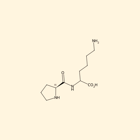 NCCCCC(NC(=O)[C@@H]1CCCN1)C(=O)O